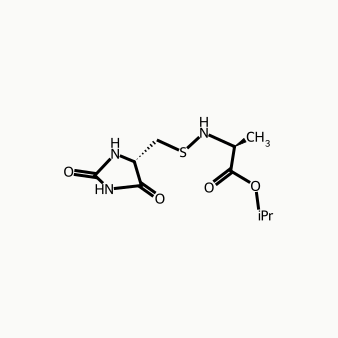 CC(C)OC(=O)[C@H](C)NSC[C@H]1NC(=O)NC1=O